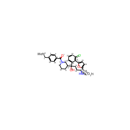 CNCc1ccc(C(=O)N2CCCC(C(O)(CCCNC(=O)O)c3cccc(Cl)c3-c3ccc(C)o3)C2)cc1